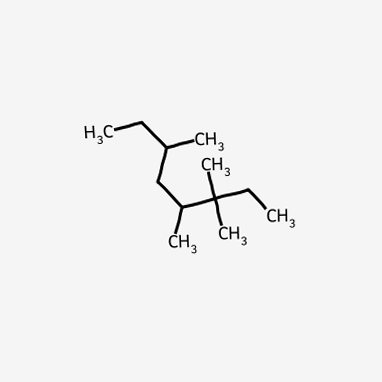 CCC(C)CC(C)C(C)(C)CC